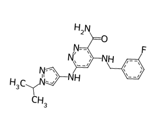 CC(C)n1cc(Nc2cc(NCc3cccc(F)c3)c(C(N)=O)nn2)cn1